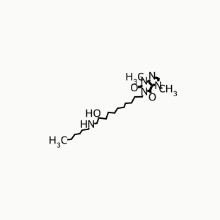 CCCCCCNCC(O)CCCCCCCCCn1c(=O)c2c(ncn2C)n(C)c1=O